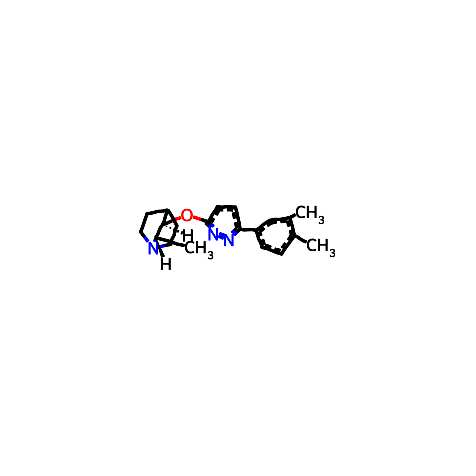 Cc1ccc(-c2ccc(O[C@@H]3C4CCN(CC4)[C@H]3C)nn2)cc1C